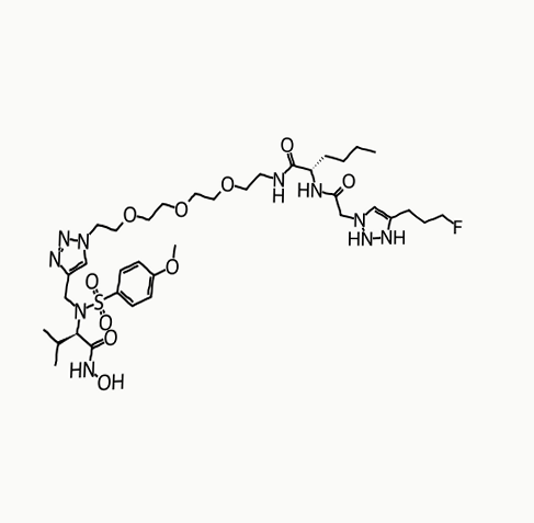 CCCC[C@H](NC(=O)CN1C=C(CCCF)NN1)C(=O)NCCOCCOCCOCCn1cc(CN([C@@H](C(=O)NO)C(C)C)S(=O)(=O)c2ccc(OC)cc2)nn1